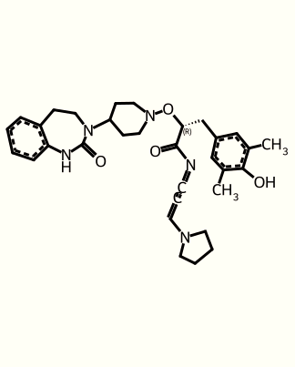 Cc1cc(C[C@@H](ON2CCC(N3CCc4ccccc4NC3=O)CC2)C(=O)N=C=C=CN2CCCC2)cc(C)c1O